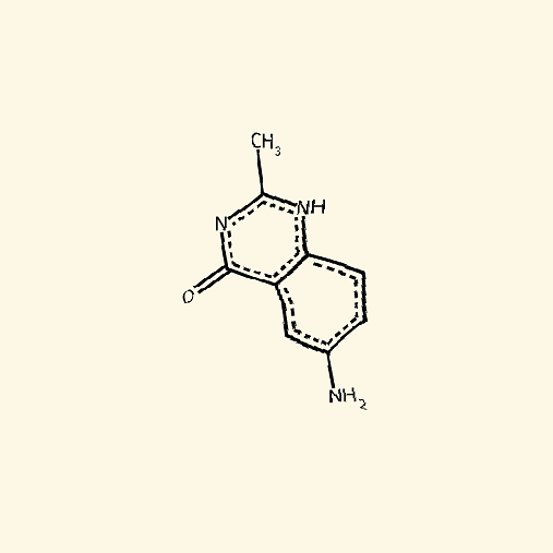 Cc1nc(=O)c2cc(N)ccc2[nH]1